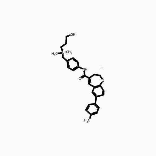 Cc1ccc(-c2ccc3c(c2)C=C(C(=O)Nc2ccc(C[N+](C)(C)CCCO)cc2)CCO3)cc1.[I-]